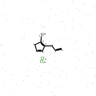 C=CCC1=[C]([Ti+2])CC=C1.[Cl-].[Cl-]